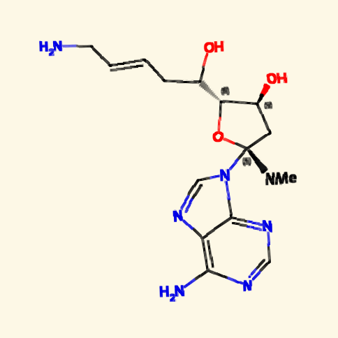 CN[C@]1(n2cnc3c(N)ncnc32)C[C@H](O)[C@@H](C(O)CC=CCN)O1